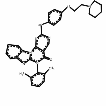 Cc1cccc(C)c1-n1c(=O)c2cnc(Nc3ccc(OCCN4CCCCC4)cc3)nc2n2c3ccccc3nc12